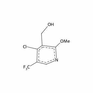 COc1ncc(C(F)(F)F)c(Cl)c1CO